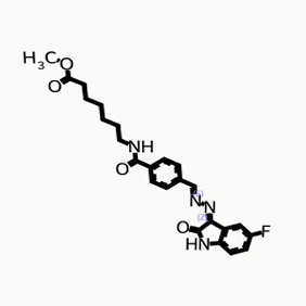 COC(=O)CCCCCCNC(=O)c1ccc(/C=N/N=C2\C(=O)Nc3ccc(F)cc32)cc1